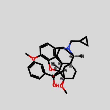 COc1ccc2c3c1O[C@H]1[C@@]4(OC)CC[C@@]5(C[C@@H]4C(O)c4ccccc4)[C@@H](C2)N(CC2CC2)CC[C@]315